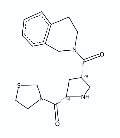 O=C([C@@H]1CN[C@H](C(=O)N2CCSC2)C1)N1CCc2ccccc2C1